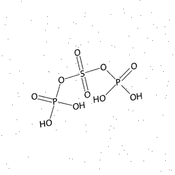 O=P(O)(O)OS(=O)(=O)OP(=O)(O)O